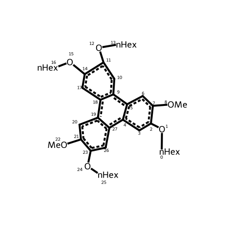 CCCCCCOc1cc2c(cc1OC)c1cc(OCCCCCC)c(OCCCCCC)cc1c1cc(OC)c(OCCCCCC)cc12